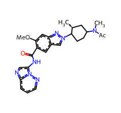 COc1cc2nn(C3CCC(N(C)C(C)=O)C[C@@H]3C)cc2cc1C(=O)Nc1cnc2cccnn12